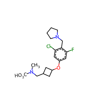 CN(CC1CC(Oc2cc(F)c(CN3CCCC3)c(Cl)c2)C1)C(=O)O